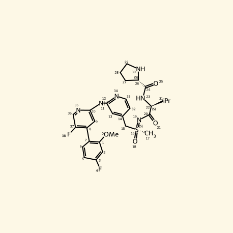 COc1cc(F)ccc1-c1cc(Nc2cc(C[S@](C)(=O)=NC(=O)[C@@H](NC(=O)[C@@H]3CCCN3)C(C)C)ccn2)ncc1F